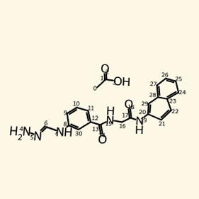 CC(=O)O.NN=CNc1cccc(C(=O)NCC(=O)Nc2ccc3ccccc3c2)c1